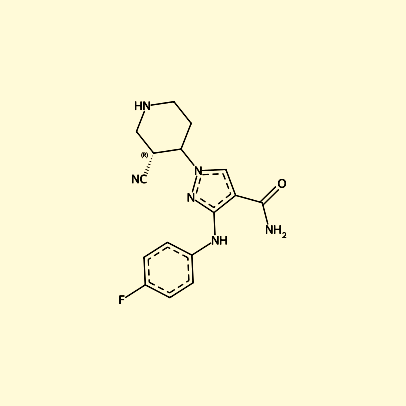 N#C[C@@H]1CNCCC1n1cc(C(N)=O)c(Nc2ccc(F)cc2)n1